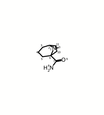 CN1C2C[CH]CC1(C(N)=O)CC2